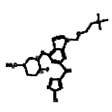 CCn1cc(Nc2nc(O[C@@H]3CN(C(=O)O)CC[C@H]3F)c3ccn(COCC[Si](C)(C)C)c3n2)cn1